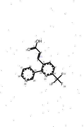 O=C(O)/C=C/c1ccc(C(F)(F)F)nc1-c1cccnc1